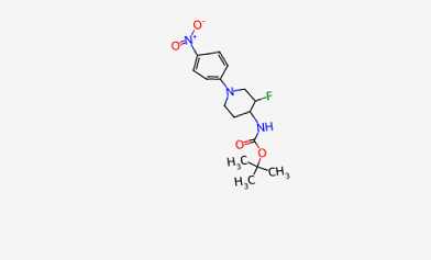 CC(C)(C)OC(=O)NC1CCN(c2ccc([N+](=O)[O-])cc2)CC1F